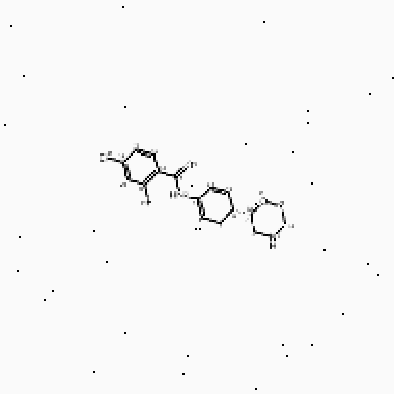 O=C(NC1=CCC([C@H]2CNCCO2)C=C1)c1ccc(Cl)cc1F